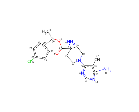 C[C@H](OC(=O)C1(N)CCN(c2ncnc(N)c2C#N)CC1)c1ccc(Cl)cc1